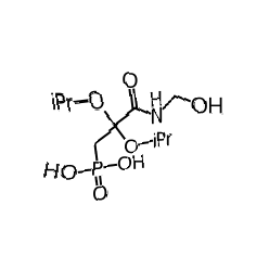 CC(C)OC(CP(=O)(O)O)(OC(C)C)C(=O)NCO